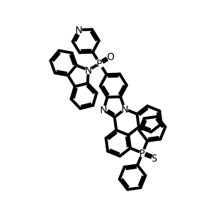 O=P(c1ccncc1)(c1ccc2c(c1)nc1c3cccc(P(=S)(c4ccccc4)c4ccccc4)c3c3ccccc3n21)n1c2ccccc2c2ccccc21